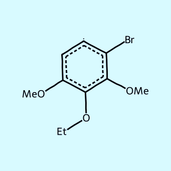 CCOc1c(OC)c[c]c(Br)c1OC